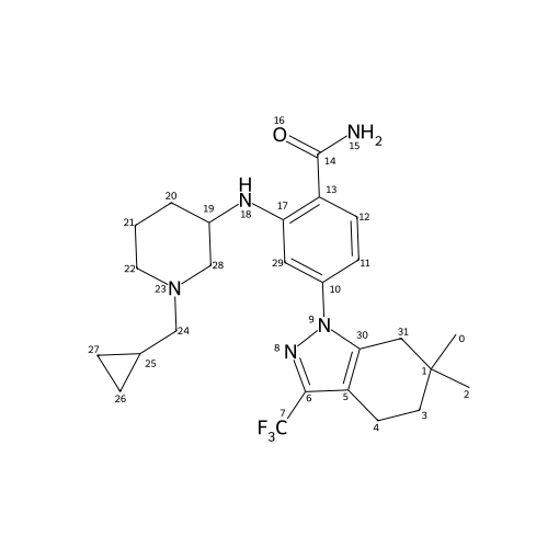 CC1(C)CCc2c(C(F)(F)F)nn(-c3ccc(C(N)=O)c(NC4CCCN(CC5CC5)C4)c3)c2C1